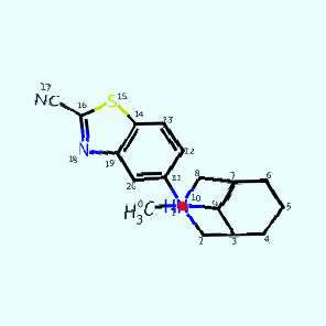 CN1CC2CCCC(C1)C2Nc1ccc2sc(C#N)nc2c1